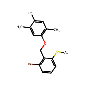 CCc1cc(C)c(OCc2c(Br)cccc2SC(C)=O)cc1C